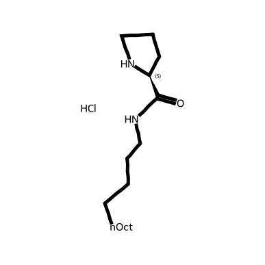 CCCCCCCCCCCCNC(=O)[C@@H]1CCCN1.Cl